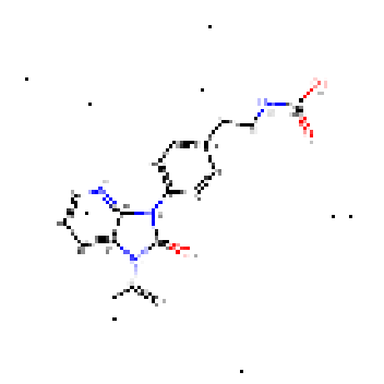 C=C(C)n1c(=O)n(-c2ccc(CCNC(=O)O)cc2)c2ncccc21